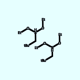 CCO[SiH](CC(C)(C)C)OCC.CCO[SiH](CC(C)(C)C)OCC